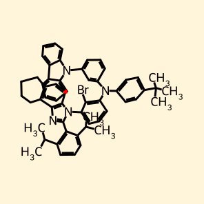 CC(C)c1cccc(C(C)C)c1-c1nc2c3c(ccc2n1-c1cccc(N(c2ccc(C(C)(C)C)cc2)c2cccc(-n4c5ccccc5c5ccccc54)c2)c1Br)CCCC3